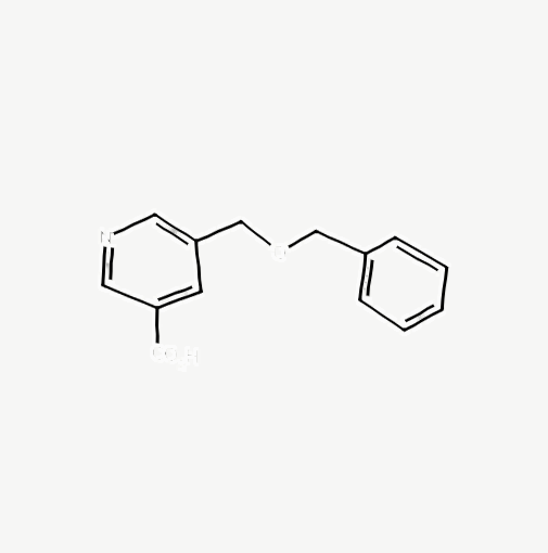 O=C(O)c1cncc(COCc2ccccc2)c1